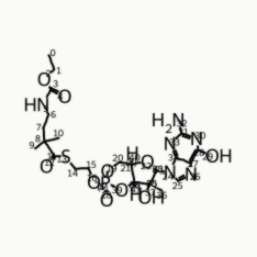 CCOC(=O)NCCC(C)(C)C(=O)SCCO[P@]1(=O)OC[C@H]2O[C@@H](n3cnc4c(O)nc(N)nc43)[C@](C)(O)[C@@H]2O1